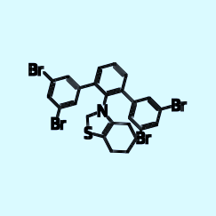 Brc1cc(Br)cc(-c2cccc(-c3cc(Br)cc(Br)c3)c2N2CSC3=C2CCCC3)c1